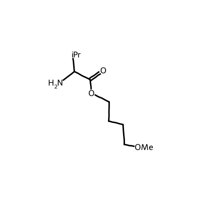 COCCCCOC(=O)C(N)C(C)C